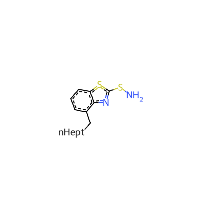 CCCCCCCCc1cccc2sc(SN)nc12